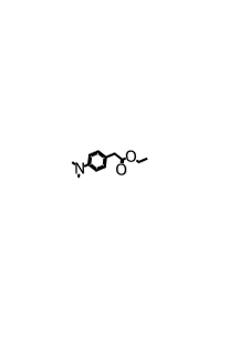 CCOC(=O)Cc1ccc(N(C)C)cc1